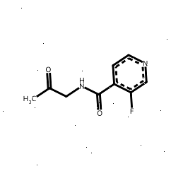 CC(=O)CNC(=O)c1ccncc1F